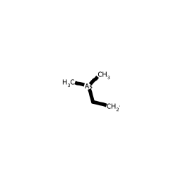 [CH2]C[As](C)C